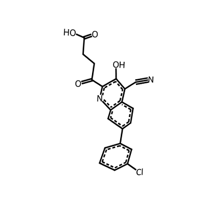 N#Cc1c(O)c(C(=O)CCC(=O)O)nc2cc(-c3cccc(Cl)c3)ccc12